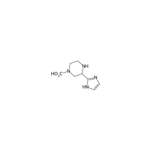 O=C(O)N1CCNC(c2ncc[nH]2)C1